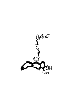 CC(=O)OCCSCCCOc1c2ccccc2cc2c(O)c(O)ccc12